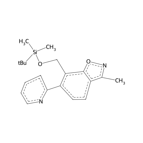 Cc1noc2c(CO[Si](C)(C)C(C)(C)C)c(-c3ccccn3)ccc12